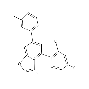 Cc1cccc(-c2cc(-c3ccc(Cl)cc3Cl)c3c(C)[c]oc3c2)c1